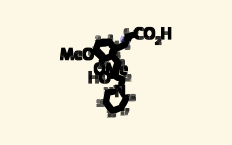 COc1ccc(/C=C/C(=O)O)c(CC(O)CN2CCCCC2)c1OC